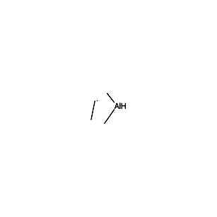 [CH2]C.[CH3][AlH][CH3]